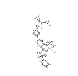 C[C@@H]1CN(c2nc(-n3ccc(OCC(C4CC4)C4CC4)n3)ccc2C(=O)NS(=O)(=O)c2ccccc2)C(C)(C)C1